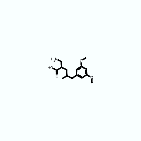 COc1cc(CC(C)CC(CN)C(=O)O)cc(OC)c1